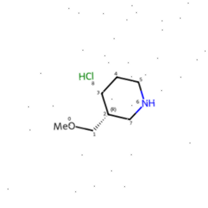 COC[C@@H]1CCCNC1.Cl